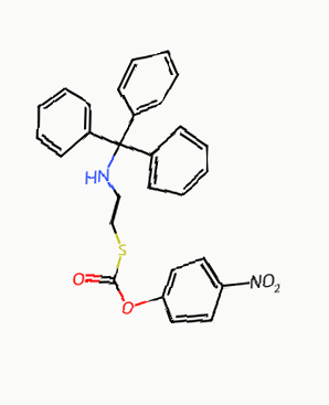 O=C(Oc1ccc([N+](=O)[O-])cc1)SCCNC(c1ccccc1)(c1ccccc1)c1ccccc1